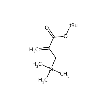 C=C(C[Si](C)(C)C)C(=O)OC(C)(C)C